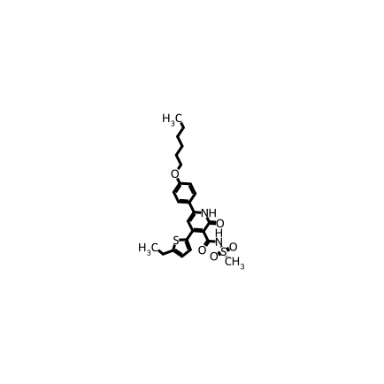 CCCCCCOc1ccc(-c2cc(-c3ccc(CC)s3)c(C(=O)NS(C)(=O)=O)c(=O)[nH]2)cc1